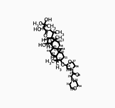 C[C@@H]1C[C@H]([C@H](O)C(C)(C)O)O[C@H]2C1[C@@]1(C)CC[C@@]34CC35CCC(OC3CN(C(=O)CN6CCOCC6)CCO3)C(C)(C)[C@@H]5CC[C@H]4[C@]1(C)[C@H]2O